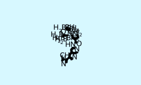 BC1(B)OC(B)(B)C(B)(B)N(c2cc(C(=O)Nc3cc4cc(-c5cncn5C)cnc4cn3)ccn2)C1(B)B